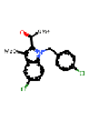 COC(=O)c1c(OC)c2cc(Cl)ccc2n1Cc1ccc(Cl)cc1